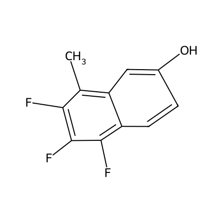 Cc1c(F)c(F)c(F)c2ccc(O)cc12